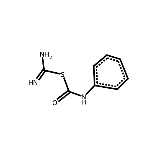 N=C(N)SC(=O)Nc1ccccc1